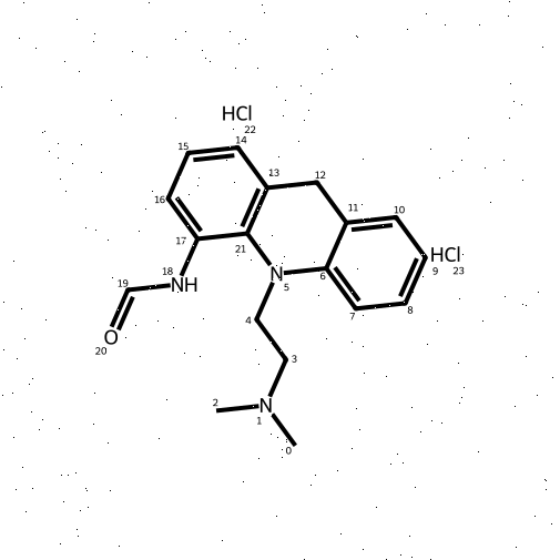 CN(C)CCN1c2ccccc2Cc2cccc(NC=O)c21.Cl.Cl